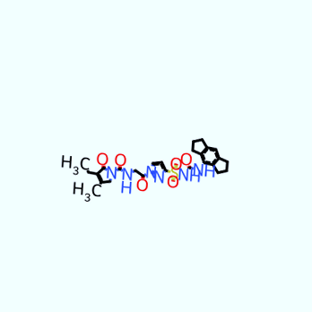 CCC1=C(C)CN(C(=O)NCC(=O)n2ccc(S(=O)(=O)NC(=O)Nc3c4c(cc5c3CCC5)CCC4)n2)C1=O